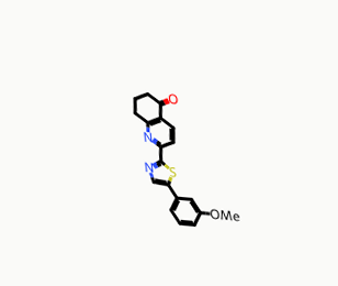 COc1cccc(-c2cnc(-c3ccc4c(n3)CCCC4=O)s2)c1